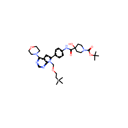 CC(C)(C)OC(=O)N1CCC(O)(C(=O)Nc2ccc(-c3cc4c(N5CCOCC5)ncnc4n3COCC[Si](C)(C)C)cc2)CC1